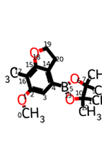 COc1cc(B2OC(C)(C)C(C)(C)O2)c2c(c1C)OCC2